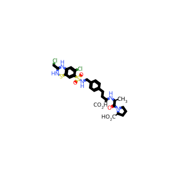 C[C@H](NC(CCc1ccc(CNS(=O)(=O)c2cc3c(cc2Cl)NC(CCl)NS3)cc1)C(=O)O)C(=O)N1CCC[C@H]1C(=O)O